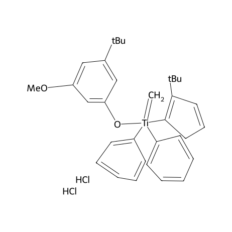 Cl.Cl.[CH2]=[Ti]([O]c1cc(OC)cc(C(C)(C)C)c1)([C]1=C(C(C)(C)C)C=CC1)([c]1ccccc1)[c]1ccccc1